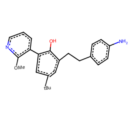 COc1ncccc1-c1cc(C(C)(C)C)cc(CCc2ccc(N)cc2)c1O